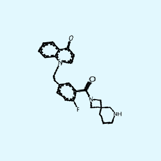 O=C(c1cc(Cn2ccc(=O)c3ccccc32)ccc1F)N1CC2(CCCNC2)C1